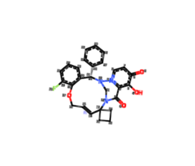 O=C1c2c(O)c(=O)ccn2N2CN1C1(/C=C/COc3c(F)cccc3[C@@H]2c2ccccc2)CCC1